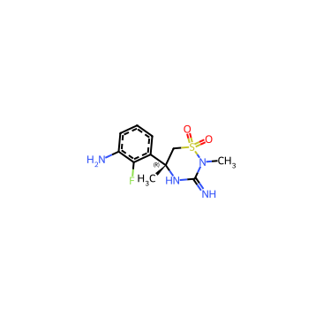 CN1C(=N)N[C@](C)(c2cccc(N)c2F)CS1(=O)=O